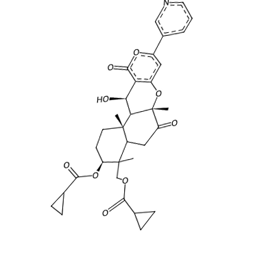 CC1(COC(=O)C2CC2)C2CC(=O)[C@@]3(C)Oc4cc(-c5cccnc5)oc(=O)c4[C@H](O)C3[C@@]2(C)CC[C@@H]1OC(=O)C1CC1